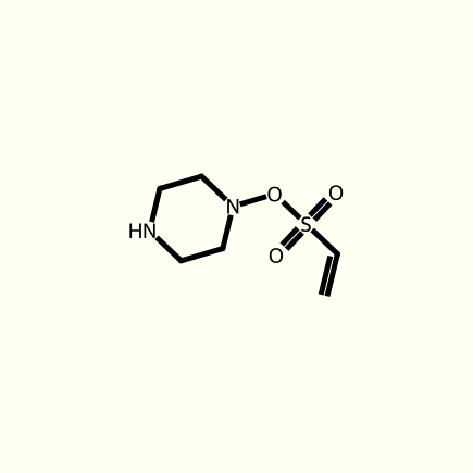 C=CS(=O)(=O)ON1CCNCC1